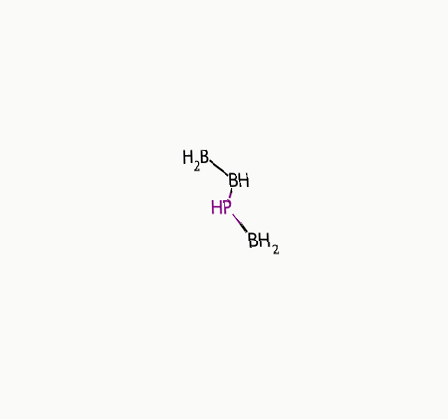 BBPB